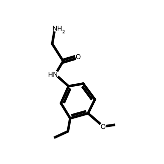 CCc1cc(NC(=O)CN)ccc1OC